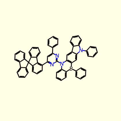 c1ccc(B2c3ccccc3N(c3nc(-c4ccccc4)cc(-c4cccc5c4-c4ccccc4C54c5ccccc5-c5ccccc54)n3)c3cc4c5ccccc5n(-c5ccccc5)c4cc32)cc1